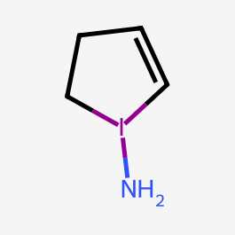 NI1C=CCC1